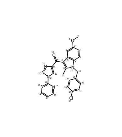 COc1ccc2c(c1)c(C(=O)c1cn(-c3ncccn3)nn1)c(C)n2Cc1ccc(Cl)cc1